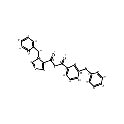 O=C(CC(=O)c1cncn1Cc1ccccn1)c1cccc(Cc2ccccc2)c1